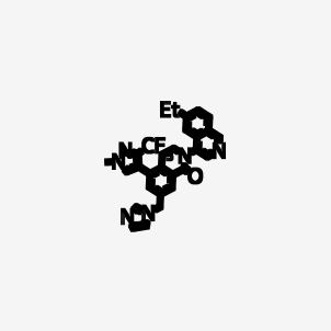 CCc1ccc2cncc(N3CCc4c(cc(Cn5ccnc5)cc4-c4cn(C)nc4C(F)(F)F)C3=O)c2c1